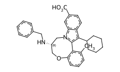 Cc1cccc2c1-c1c(C3CCCCC3)c3ccc(C(=O)O)cc3n1C[C@@H](NCc1ccccc1)CO2